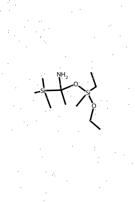 CCO[Si](C)(CC)OC(C)(N)[Si](C)(C)C